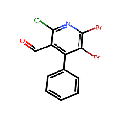 O=Cc1c(Cl)nc(Br)c(Br)c1-c1ccccc1